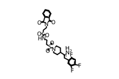 N[C@H](Cc1cc(F)c(F)cc1F)C1CCN(S(=O)(=O)CCNS(=O)(=O)CCN2C(=O)c3ccccc3C2=O)CC1